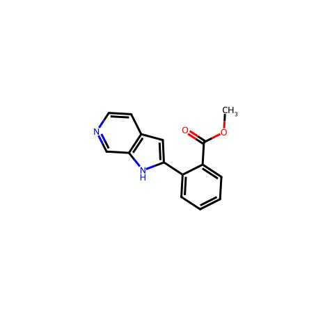 COC(=O)c1ccccc1-c1cc2ccncc2[nH]1